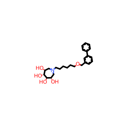 O[C@H]1[C@H](O)[C@@H](O)CN(CCCCCCOCc2cccc(-c3ccccc3)c2)C[C@@H]1O